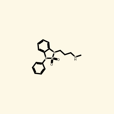 CNCCCN1c2ccccc2N(c2ccccc2)S1(=O)=O